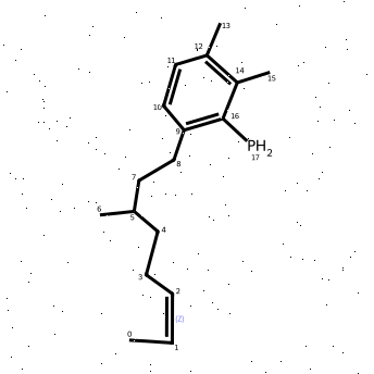 C/C=C\CCC(C)CCc1ccc(C)c(C)c1P